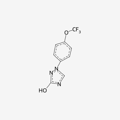 Oc1ncn(-c2ccc(OC(F)(F)F)cc2)n1